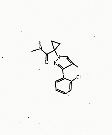 Cc1cn(C2(C(=O)N(C)C)CC2)nc1-c1ccccc1Cl